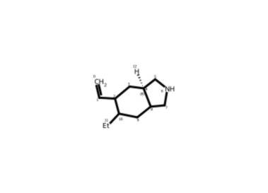 C=CC1C[C@H]2CNCC2CC1CC